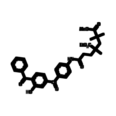 CCOC(=O)C(C)(CCC(=O)Nc1cc[c]([Co](=[O])[c]2ccc(C(=O)c3ccccc3)c(O)c2)cc1)CC(C)(C)C(=O)OC